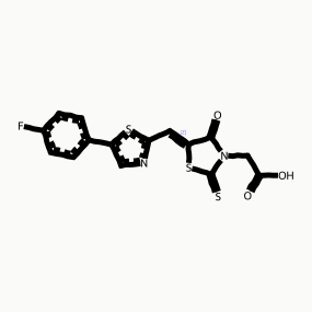 O=C(O)CN1C(=O)/C(=C/c2ncc(-c3ccc(F)cc3)s2)SC1=S